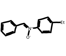 CCc1ccc([N+]([O-])=Cc2ccccc2)cc1